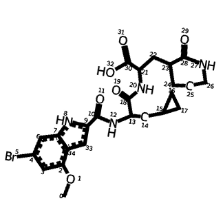 COc1cc(Br)cc2[nH]c(C(=O)NC(CC3CC3)C(=O)NC(CC3CCCNC3=O)C(=O)O)cc12